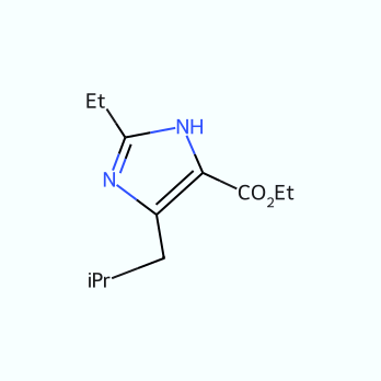 CCOC(=O)c1[nH]c(CC)nc1CC(C)C